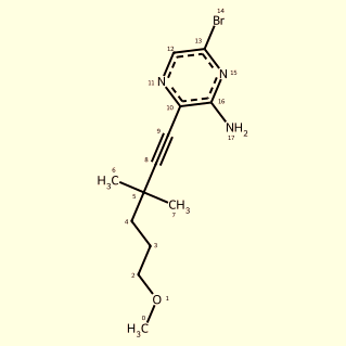 COCCCC(C)(C)C#Cc1ncc(Br)nc1N